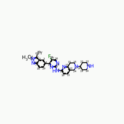 CC(C)c1c2cc(-c3nc(Nc4ccc5c(n4)CCN(C4CCNCC4)C5)ncc3F)ccc2nn1C